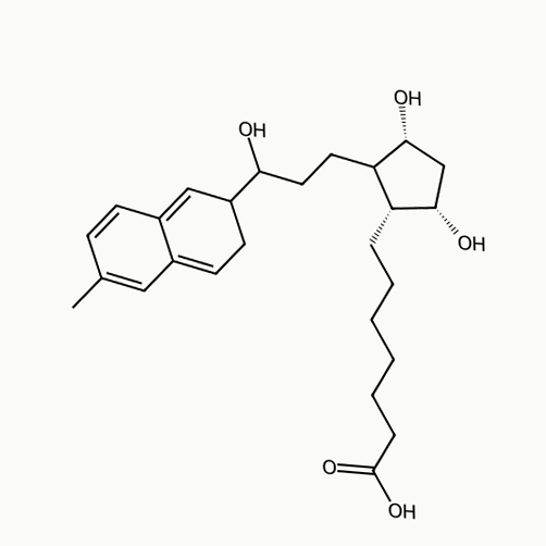 Cc1ccc2c(c1)=CCC(C(O)CCC1[C@H](O)C[C@H](O)[C@@H]1CCCCCCC(=O)O)C=2